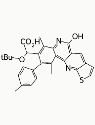 Cc1ccc(-c2c(C(OC(C)(C)C)C(=O)O)c(C)c3nc(O)c4cc5ccsc5nc4c3c2C)cc1